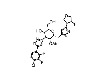 CO[C@@H]1[C@@H](n2cc(-c3ccc(Cl)c(F)c3F)nn2)[C@@H](O)[C@@H](CO)O[C@@H]1Cc1cn([C@@H]2COC[C@H]2F)nn1